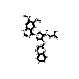 COc1cc2ncnc(N3CC(NCC(C)C)C(Oc4cnc5ccccc5n4)C3)c2cc1OC